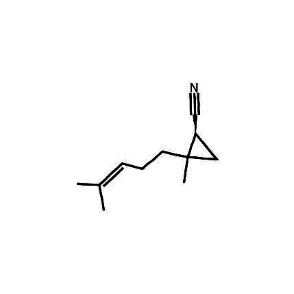 CC(C)=CCCC1(C)C[C@@H]1C#N